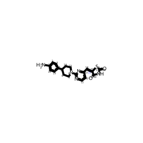 Nc1ccc(C2CCN(c3nccc(/C=C4/SC(=O)NC4=O)n3)CC2)cc1